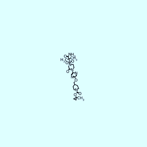 CC1(OC(=O)N2CCC(COc3cnc(N4CCN(S(=O)(=O)C(C)(C)C(N)=O)CC4=O)cn3)CC2)CC1